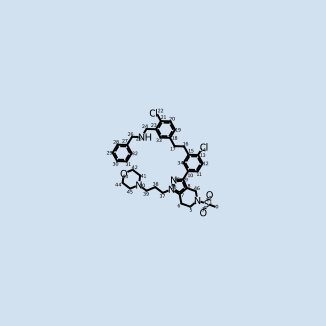 CS(=O)(=O)N1CCc2c(c(-c3ccc(Cl)c(CCc4ccc(Cl)c(CNCc5ccccc5)c4)c3)nn2CCCN2CCOCC2)C1